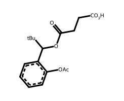 CC(=O)Oc1ccccc1C(OC(=O)CCC(=O)O)C(C)(C)C